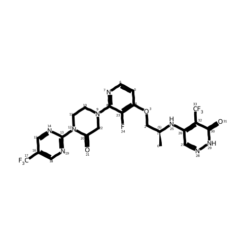 C[C@@H](COc1ccnc(N2CCN(c3ncc(C(F)(F)F)cn3)C(=O)C2)c1F)Nc1cn[nH]c(=O)c1C(F)(F)F